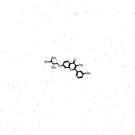 CC(C)C(N)[C@@H](O)COc1ccc2c(=O)c(O)c(-c3cccc(O)c3)oc2c1